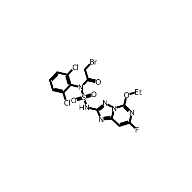 CCOc1nc(F)cc2nc(NS(=O)(=O)N(C(=O)CBr)c3c(Cl)cccc3Cl)nn12